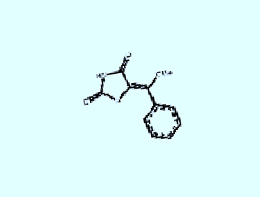 COC(=C1SC(=O)NC1=O)c1ccccc1